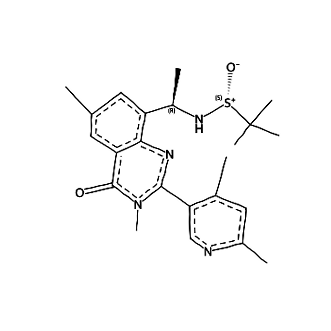 Cc1cc([C@@H](C)N[S@+]([O-])C(C)(C)C)c2nc(-c3cnc(C)cc3C)n(C)c(=O)c2c1